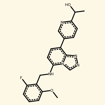 COc1cccc(F)c1CNc1ccc(-c2ccc(C(C)O)nc2)c2nncn12